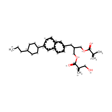 C=C(C)C(=O)OCC(COC(=O)C(=C)CO)Cc1ccc2cc(C3CCC(CCC)CC3)ccc2c1